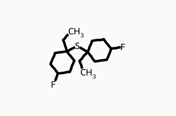 CCC1(SC2(CC)CCC(F)CC2)CCC(F)CC1